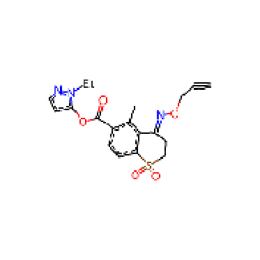 C#CCO/N=C1\CCS(=O)(=O)c2ccc(C(=O)Oc3ccnn3CC)c(C)c21